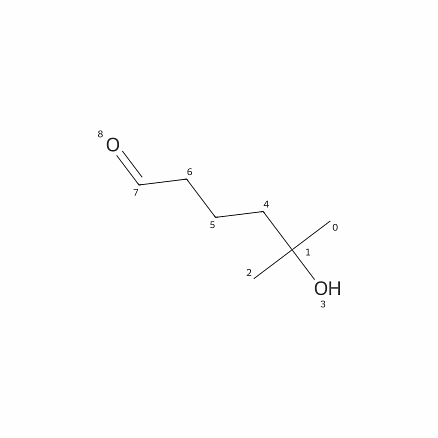 CC(C)(O)CCCC=O